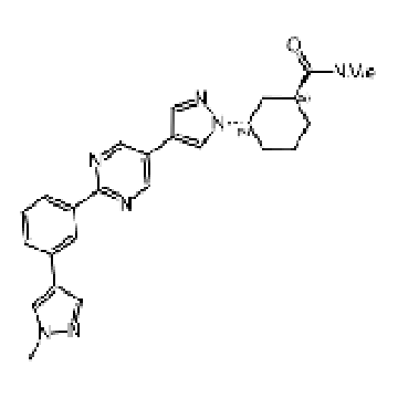 CNC(=O)[C@H]1CCC[C@H](n2cc(-c3cnc(-c4cccc(-c5cnn(C)c5)c4)nc3)cn2)C1